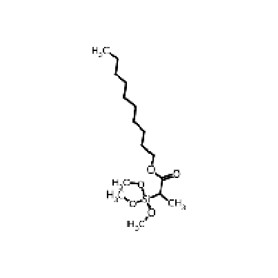 CCCCCCCCCCOC(=O)C(C)[Si](OC)(OC)OC